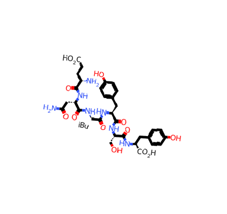 CC[C@H](C)[C@H](NC(=O)[C@H](CC(N)=O)NC(=O)[C@@H](N)CCC(=O)O)C(=O)N[C@@H](Cc1ccc(O)cc1)C(=O)N[C@@H](CO)C(=O)N[C@@H](Cc1ccc(O)cc1)C(=O)O